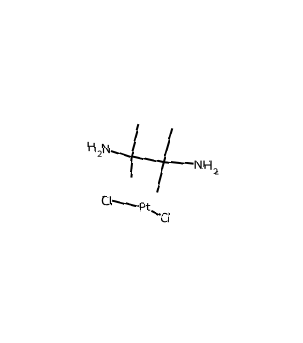 CC(C)(N)C(C)(C)N.[Cl][Pt][Cl]